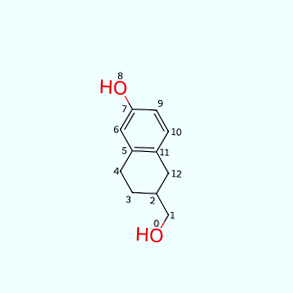 OCC1CCc2cc(O)ccc2C1